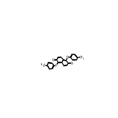 O=C1C=CC2=C(Oc3ccc(C(F)(F)F)cc3)C(=O)C=CC2=C1Oc1ccc(C(F)(F)F)cc1